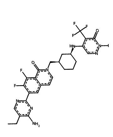 CCc1cnc(-c2cc3ccn(C[C@@H]4CCC[C@H](Nc5cnn(I)c(=O)c5C(F)(F)F)C4)c(=O)c3c(F)c2F)nc1N